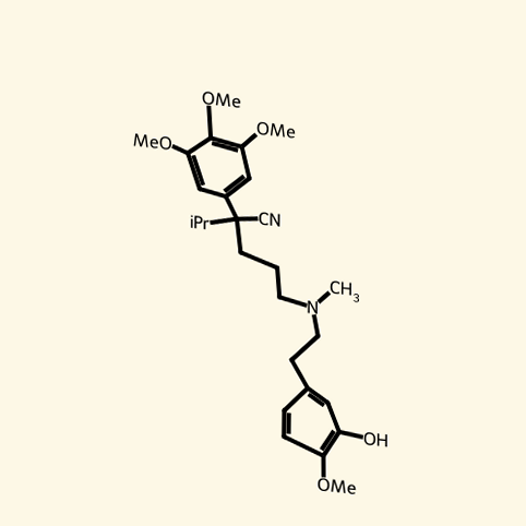 COc1ccc(CCN(C)CCCC(C#N)(c2cc(OC)c(OC)c(OC)c2)C(C)C)cc1O